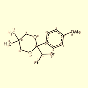 CCC(Br)C1(c2ccc(OC)cc2)OCC(C)(C)CO1